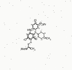 C=C(CCn1c(=O)nc(Nc2ccc(OC(C)C)c(Cl)c2)n(CC2CCC(C)CC2)c1=O)NC